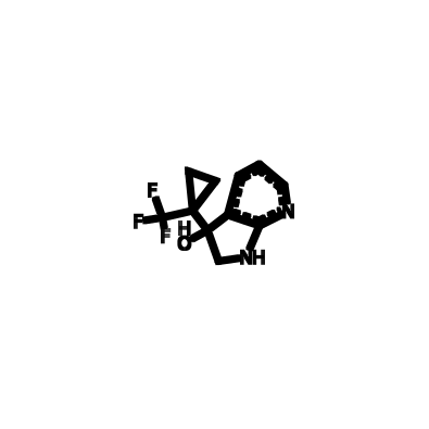 OC1(C2(C(F)(F)F)CC2)CNc2ncccc21